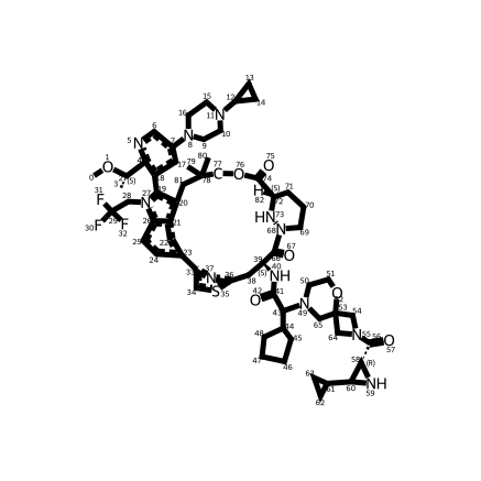 CO[C@@H](C)c1ncc(N2CCN(C3CC3)CC2)cc1-c1c2c3cc(ccc3n1CC(F)(F)F)-c1csc(n1)C[C@H](NC(=O)C(C1CCCC1)N1CCOC3(CN(C(=O)[C@@H]4NC4C4CC4)C3)C1)C(=O)N1CCC[C@H](N1)C(=O)OCC(C)(C)C2